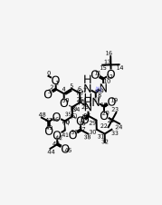 COC(=O)C1=C[C@H](N/C(=N\C(=O)OC(C)(C)C)NC(=O)OC(C)(C)C)[C@@H](NC(=O)CCC(C)C)[C@H]([C@H](OC(C)=O)[C@@H](COC(C)=O)OC(C)=O)O1